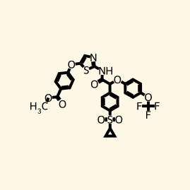 COC(=O)c1ccc(Oc2cnc(NC(=O)C(Oc3ccc(OC(F)(F)F)cc3)c3ccc(S(=O)(=O)C4CC4)cc3)s2)cc1